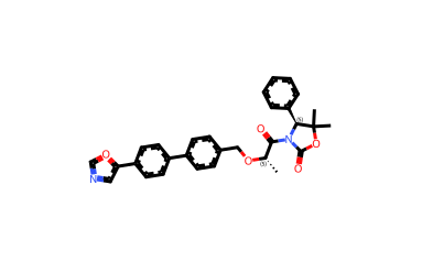 C[C@H](OCc1ccc(-c2ccc(-c3cnco3)cc2)cc1)C(=O)N1C(=O)OC(C)(C)[C@@H]1c1ccccc1